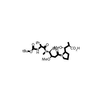 CC[C@H](C)[C@@H]([C@@H](CC(=O)N1CCCC1[C@H](OC)[C@@H](C)C(=O)O)OC)N(C)C(=O)C(NC(=O)OC(C)(C)C)C(C)C